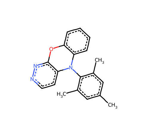 Cc1cc(C)c(N2c3ccccc3Oc3nnccc32)c(C)c1